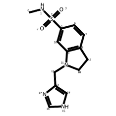 CNS(=O)(=O)c1ccc2c(c1)N(Cc1c[nH]cn1)CC2